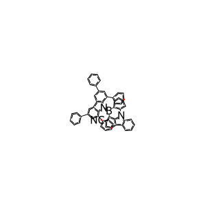 N#Cc1ccc2c3ccccc3n3c2c1B(n1c2c(-c4ccccc4)cc(-c4ccccc4)cc2c2cc(-c4ccccc4)cc(-c4ccccc4)c21)c1ccccc1-3